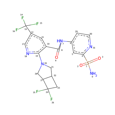 NS(=O)(=O)c1cc(NC(=O)c2cc(C(F)(F)F)cnc2N2CC3CC(F)(F)C3C2)ccn1